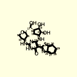 O=c1[nH]c(NC2CCOCC2)nc(N[C@@H]2C[C@H](CO)[C@@H](O)[C@H]2O)c1-c1nc2ccccc2s1